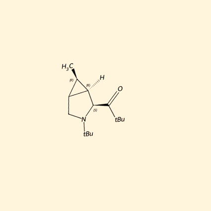 C[C@@H]1C2CN(C(C)(C)C)[C@H](C(=O)C(C)(C)C)[C@@H]21